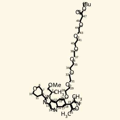 COC[C@@H](C)n1c(C2CCOCC2)nc2cnc3cc(-c4c(C)noc4C)c(OCCOCCOCCOCCOCCOCCOCCC(=O)OC(C)(C)C)cc3c21